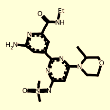 CCNC(=O)c1cc(-c2nc(N=S(C)(C)=O)cc(N3CCOCC3C)n2)cc(N)n1